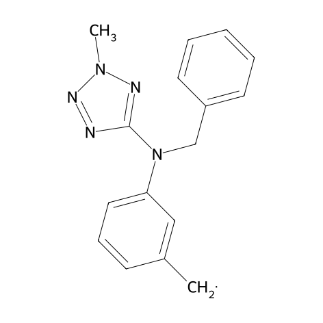 [CH2]c1cccc(N(Cc2ccccc2)c2nnn(C)n2)c1